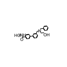 O=C(NO)c1ccc(-c2cccc(CN(CCO)Cc3ccccc3)c2)cc1